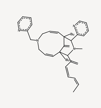 C=C(/C=C\C=C/C)C1N(C)C(c2ccccn2)C2(C(C)CC)C=CCN(Cc3ccccn3)CC=CC1(C(C)CC)C2=C